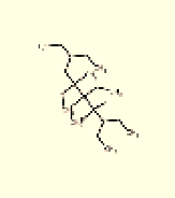 CCC(CC)CC(C)(CC)C(CC)(CC)C(F)(F)C(CC)CC